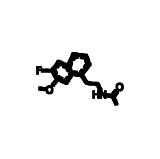 COc1cc2c(CCNC(C)=O)cccc2cc1F